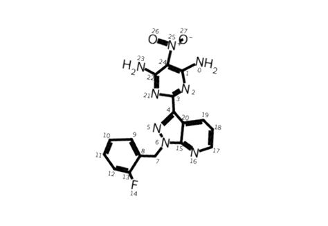 Nc1nc(-c2nn(Cc3ccccc3F)c3ncccc23)nc(N)c1[N+](=O)[O-]